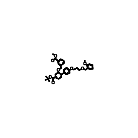 COC(=O)c1cccc(COC2CN(C(=O)OC(C)(C)C)CCC2c2ccc(OCCCOCc3ccccc3OC)cc2)c1